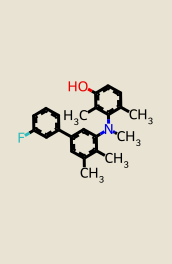 Cc1cc(-c2cccc(F)c2)cc(N(C)c2c(C)ccc(O)c2C)c1C